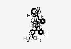 COC(=O)N[C@H](C(=O)Nc1cccc(F)c1CCC1CNC2CCCS(=O)(=O)N1C2)[C@@H](c1ccc(Cl)cc1)C1CCOC(C(C)C)C1